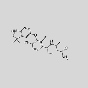 CC[C@@H](N[C@@H](C)CC(N)=O)c1ccc(Cl)c(Oc2ccc3c(c2)C(C)(C)CN3)c1F